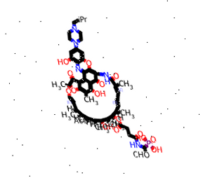 CC(=O)O[C@H]1[C@H](C)[C@H](O)[C@H](C)[C@@H](OC(=O)CCC(=O)NC(C=O)P(=O)(O)O)[C@@H](C)/C=C/C=C(/C)C(=O)Nc2c3oc4cc(N5CCN(CC(C)C)CC5)cc(O)c4nc-3c3c4c(c(C)c(O)c3c2=O)O[C@](C)(O/C=C/[C@H](C)[C@H]1C)C4=O